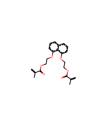 C=C(C)C(=O)OCCOc1cccc2cccc(OCCOC(=O)C(=C)C)c12